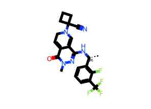 C[C@@H](Nc1nn(C)c(=O)c2c1=CN(C1(C#N)CCC1)CC=2)c1cccc(C(F)(F)F)c1F